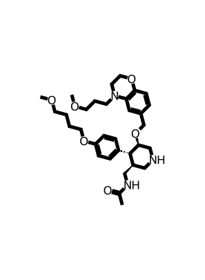 COCCCCOc1ccc([C@H]2[C@H](CNC(C)=O)CNC[C@@H]2OCc2ccc3c(c2)N(CCCOC)CCO3)cc1